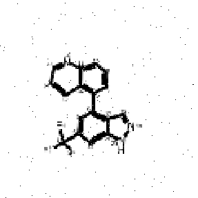 FC(F)(F)c1cc(-c2cccc3ncccc23)c2cn[nH]c2c1